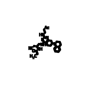 C=CC(=O)N[C@@H](CC#N)CNc1nc(NCCC(C)=O)nc2c1CCC(N1CCCc3ccccc31)C2